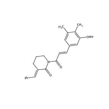 COc1cc(/C=C/C(=O)N2CCC/C(=C\C(C)C)C2=O)cc(C)c1C